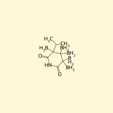 BC1(B)C(=O)NC(=O)C(B)(C(C)C)C1(B)B